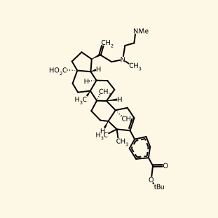 C=C(CN(C)CCNC)[C@@H]1CC[C@]2(C(=O)O)CC[C@]3(C)[C@H](CC[C@@H]4[C@@]5(C)CC=C(c6ccc(C(=O)OC(C)(C)C)cc6)C(C)(C)[C@@H]5CC[C@]43C)[C@@H]12